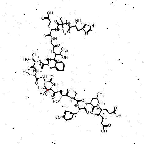 CC(C)C[C@H](NC(=O)[C@H](Cc1ccc(O)cc1)NC(=O)[C@H](CO)NC(=O)[C@H](CO)NC(=O)[C@@H](NC(=O)[C@H](CC(=O)O)NC(=O)[C@H](CO)NC(=O)[C@@H](NC(=O)[C@H](Cc1ccccc1)NC(=O)[C@@H](NC(=O)CNC(=O)[C@H](CCC(=O)O)NC(=O)C(C)(C)NC(=O)[C@@H](N)Cc1c[nH]cn1)[C@@H](C)O)[C@@H](C)O)C(C)C)C(=O)N[C@@H](CCC(=O)O)C(=O)NCC(=O)O